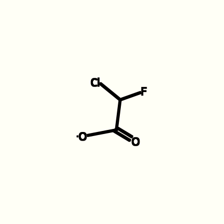 [O]C(=O)C(F)Cl